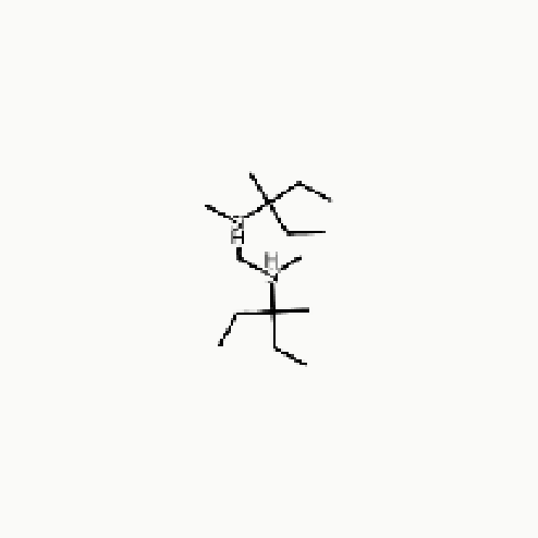 CCC(C)(CC)[SiH](C)C[SiH](C)C(C)(CC)CC